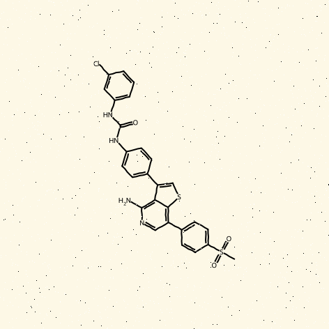 CS(=O)(=O)c1ccc(-c2cnc(N)c3c(-c4ccc(NC(=O)Nc5cccc(Cl)c5)cc4)csc23)cc1